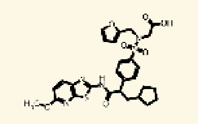 COc1ccc2nc(NC(=O)C(CC3CCCC3)c3ccc(S(=O)(=O)N(CC(=O)O)Cc4ccco4)cc3)sc2n1